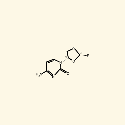 Nc1ccn([C@@H]2CS[C@H](F)O2)c(=O)n1